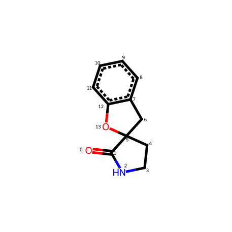 O=C1NCCC12Cc1ccccc1O2